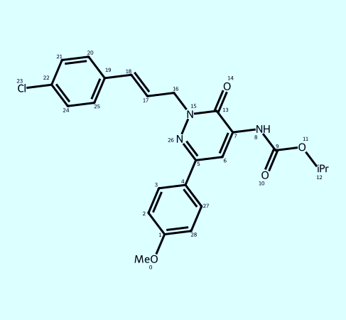 COc1ccc(-c2cc(NC(=O)OC(C)C)c(=O)n(C/C=C/c3ccc(Cl)cc3)n2)cc1